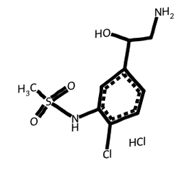 CS(=O)(=O)Nc1cc(C(O)CN)ccc1Cl.Cl